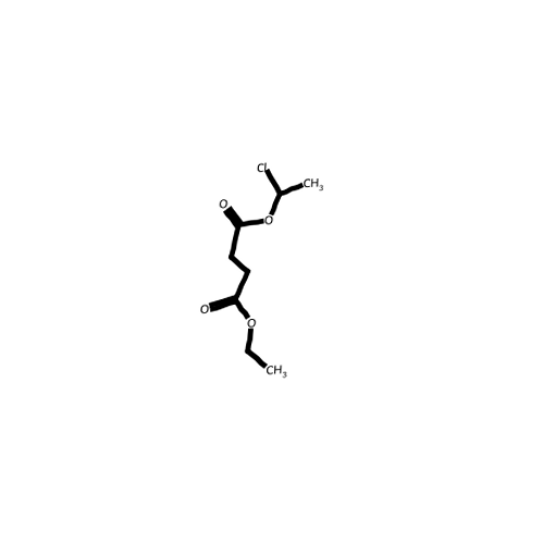 CCOC(=O)CCC(=O)OC(C)Cl